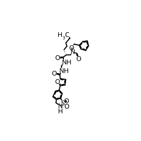 CCCCC[C@H](CN(C=O)OCc1ccccc1)C(=O)NCNC(=O)c1ccc(-c2ccc3c(c2)S(=O)(=O)NC3)o1